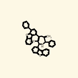 C=C1CC(c2ccc(-c3ccccc3)c3oc4ccccc4c23)=C(C)C(c2cccc3sc4ccccc4c23)NC1c1ccccc1